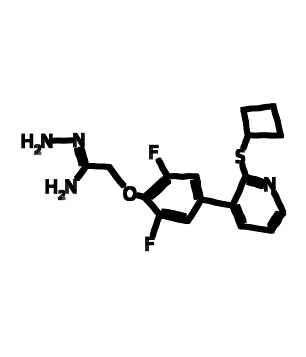 N/N=C(\N)COc1c(F)cc(-c2cccnc2SC2CCC2)cc1F